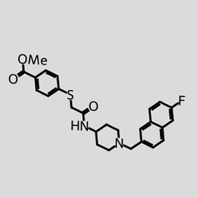 COC(=O)c1ccc(SCC(=O)NC2CCN(Cc3ccc4cc(F)ccc4c3)CC2)cc1